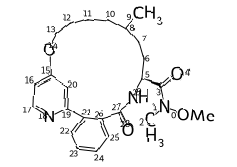 CON(C)C(=O)[C@@H]1CCC(C)CCCCOc2ccnc(c2)-c2ccccc2C(=O)N1